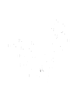 Nc1nc2c(ncn2[C@@H]2O[C@H](COP(=O)(O)OP(=O)(O)OP(=O)(O)OP(=O)(O)OP(=O)(O)OC[C@H]3O[C@@H](n4cnc5c(N)ncnc54)[C@H](O)[C@@H]3O)[C@@H](O)[C@H]2O)c(=O)[nH]1